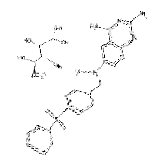 CN(Cc1ccc(S(=O)(=O)c2ccccc2)cc1)c1ccc2nc(N)nc(N)c2c1.O=C[C@H](O)[C@@H](O)[C@H](O)[C@H](O)C(=O)O